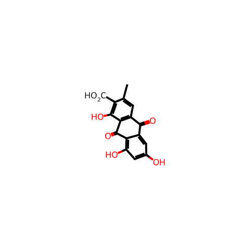 Cc1cc2c(c(O)c1C(=O)O)C(=O)c1c(O)cc(O)cc1C2=O